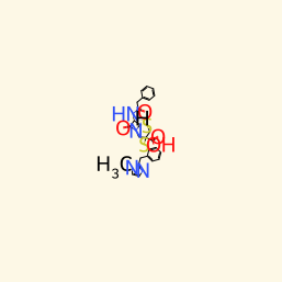 Cn1ccnc1Cc1ccccc1SC1(C(=O)O)CS[C@@H]2[C@H](NC(=O)Cc3ccccc3)C(=O)N2C1